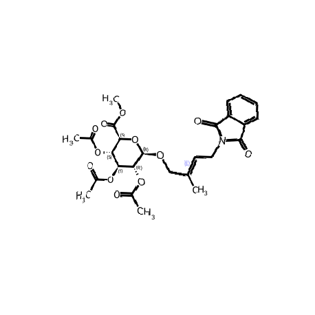 COC(=O)[C@H]1O[C@@H](OC/C(C)=C/CN2C(=O)c3ccccc3C2=O)[C@H](OC(C)=O)[C@@H](OC(C)=O)[C@@H]1OC(C)=O